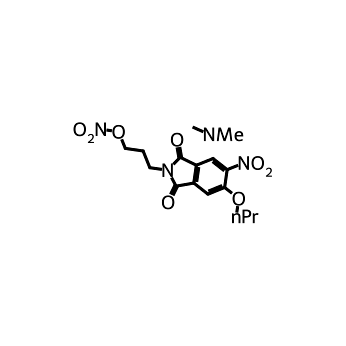 CCCOc1cc2c(cc1[N+](=O)[O-])C(=O)N(CCCO[N+](=O)[O-])C2=O.CNC